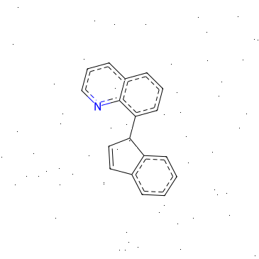 C1=Cc2ccccc2[C]1c1cccc2cccnc12